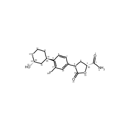 NC(=O)[C@H]1CN(c2ccc([C@@H]3CCS[C@@H](O)C3)c(F)c2)C(=O)O1